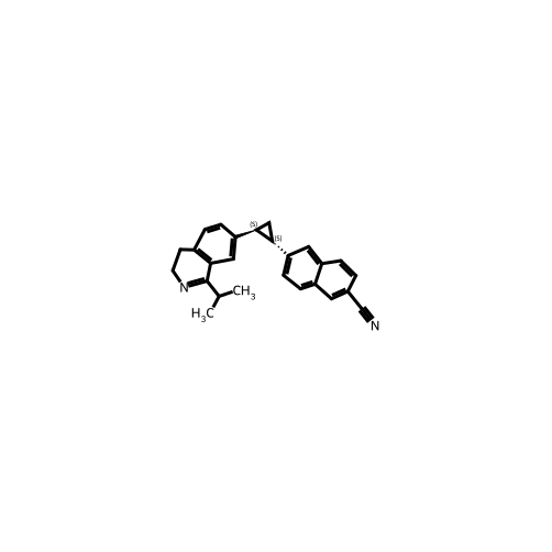 CC(C)C1=NCCc2ccc([C@H]3C[C@@H]3c3ccc4cc(C#N)ccc4c3)cc21